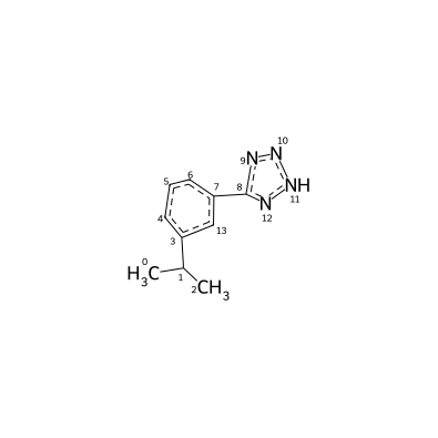 CC(C)c1cccc(-c2nn[nH]n2)c1